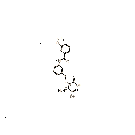 COc1cccc(C(=O)Nc2cccc(CO[C@H](C(=O)O)[C@H](N)C(=O)O)c2)c1